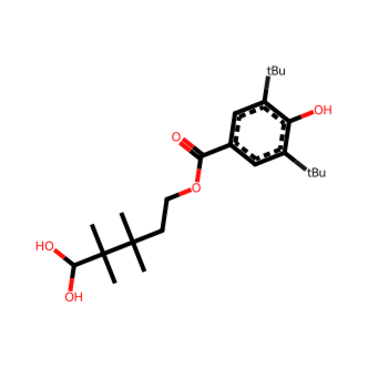 CC(C)(C)c1cc(C(=O)OCCC(C)(C)C(C)(C)C(O)O)cc(C(C)(C)C)c1O